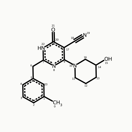 Cc1cccc(Cc2nc(N3CCCC(O)C3)c(C#N)c(=O)[nH]2)c1